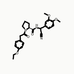 CCOc1ccc(CC(=O)N2CCC[C@H]2C(=O)NC(C#N)c2ccc(OC)c(OC)c2)cc1